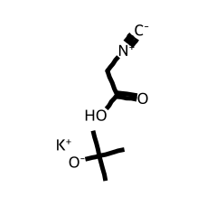 CC(C)(C)[O-].[C-]#[N+]CC(=O)O.[K+]